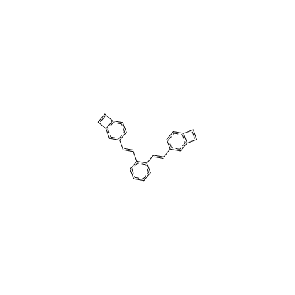 C(=Cc1ccccc1C=Cc1ccc2c(c1)C=C2)c1ccc2c(c1)C=C2